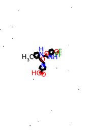 Cc1ccc(NC(=O)C2CNc3cc(OC(F)(F)F)ccc3O2)c(C#CCN2CCC(C(=O)O)CC2)c1